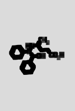 C=C(CCC(=O)O)NN(c1ccccc1)C(O)c1ccccc1